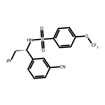 CC(C)C[C@H](NS(=O)(=O)c1ccc(OC(F)(F)F)cc1)c1cccc(C#N)c1